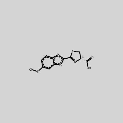 O=C(O)[C@H]1CSC(c2nc3ccc(SCl)cc3s2)=N1